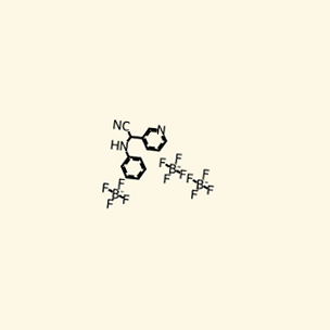 F[B-](F)(F)F.F[B-](F)(F)F.F[B-](F)(F)F.N#CC(Nc1ccccc1)c1cccnc1